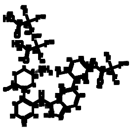 C[C@H]1CC[C@H](N)CN1c1ccncc1Nc1ncc2ccc(-c3ncccc3F)nn12.O=C(O)C(F)(F)F.O=C(O)C(F)(F)F.O=C(O)C(F)(F)F